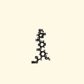 COC(=O)Cc1cc(Nc2cncc(Nc3cc(C)[nH]n3)n2)ccc1C